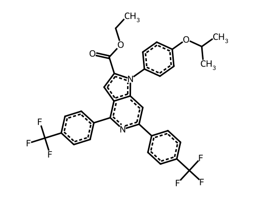 CCOC(=O)c1cc2c(-c3ccc(C(F)(F)F)cc3)nc(-c3ccc(C(F)(F)F)cc3)cc2n1-c1ccc(OC(C)C)cc1